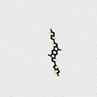 Cc1cc2sc(-c3cc4c(s3)-c3cc5c(cc3C4C)-c3sc(-c4cc6sc(C)cc6s4)cc3C5C)cc2s1